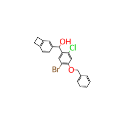 OC(c1ccc2c(c1)CC2)c1cc(Br)c(OCc2ccccc2)cc1Cl